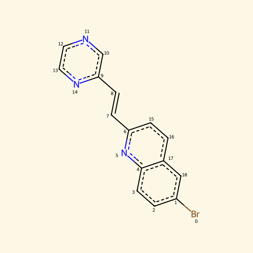 Brc1ccc2nc(/C=C/c3cnccn3)ccc2c1